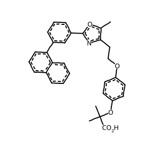 Cc1oc(-c2cccc(-c3cccc4ccccc34)c2)nc1CCOc1ccc(OC(C)(C)C(=O)O)cc1